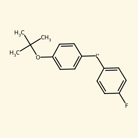 CC(C)(C)Oc1ccc([I+]c2ccc(F)cc2)cc1